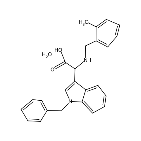 Cc1ccccc1CNC(C(=O)O)c1cn(Cc2ccccc2)c2ccccc12.O